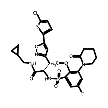 COc1c(N2CCCCC2=O)cc(F)cc1S(=O)(=O)N[C@@H](Cc1cc(-c2ccc(Cl)s2)on1)C(=O)NCC1CC1